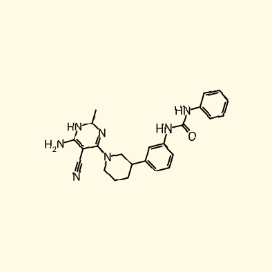 CC1N=C(N2CCCC(c3cccc(NC(=O)Nc4ccccc4)c3)C2)C(C#N)=C(N)N1